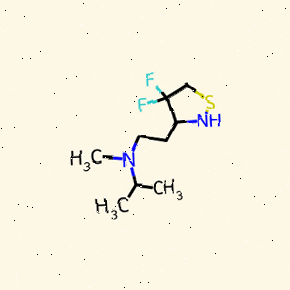 CC(C)N(C)CCC1NSCC1(F)F